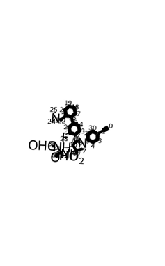 C#Cc1ccc(N2C[C@H](O)C[C@@H]2c2ccc(-c3ccccc3CN(C)C)cc2F)cc1.NC(=O)NC=O